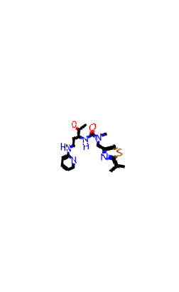 CC(=O)C(CCNc1ccccn1)NC(=O)N(C)Cc1csc(C(C)C)n1